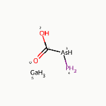 O=C(O)[AsH]P.[GaH3]